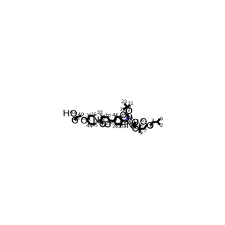 CC(C)COC(=O)CC(C)(C)OC(=O)N/C(=N/C(=O)OC(C)(C)C)c1ccc(C(=O)C[C@@H](C)C(=O)N2CCC(OCC(=O)O)CC2)cc1